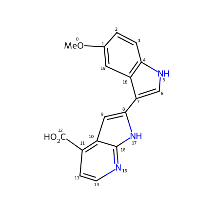 COc1ccc2[nH]cc(-c3cc4c(C(=O)O)ccnc4[nH]3)c2c1